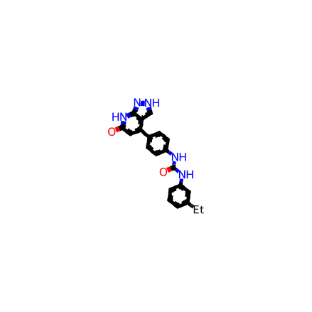 CCc1cccc(NC(=O)Nc2ccc(-c3cc(=O)[nH]c4n[nH]cc34)cc2)c1